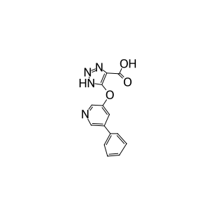 O=C(O)c1nn[nH]c1Oc1cncc(-c2ccccc2)c1